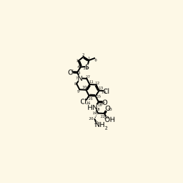 Cc1ccc(C(=O)N2CCc3c(cc(Cl)c(C(=O)N[C@@H](CN)C(=O)O)c3Cl)C2)s1